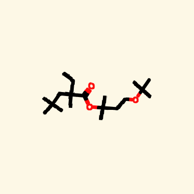 CCC(C)(CC(C)(C)C)C(=O)OC(C)(C)CCOC(C)(C)C